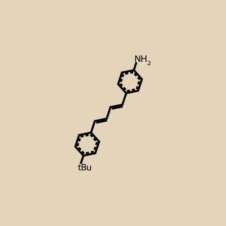 CC(C)(C)c1ccc(/C=C/C=C/c2ccc(N)cc2)cc1